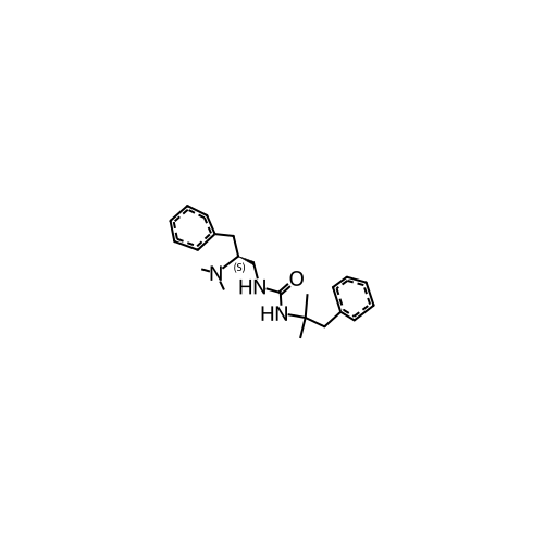 CN(C)[C@H](CNC(=O)NC(C)(C)Cc1ccccc1)Cc1ccccc1